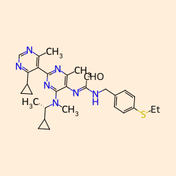 CCSc1ccc(CN/C(C=O)=N/c2c(C)nc(-c3c(C)ncnc3C3CC3)nc2N(C)[C@@H](C)C2CC2)cc1